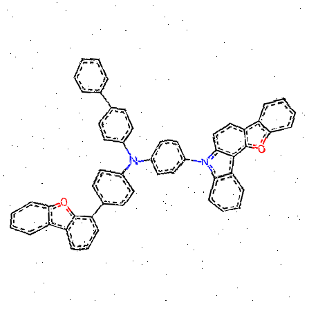 c1ccc(-c2ccc(N(c3ccc(-c4cccc5c4oc4ccccc45)cc3)c3ccc(-n4c5ccccc5c5c6oc7ccccc7c6ccc54)cc3)cc2)cc1